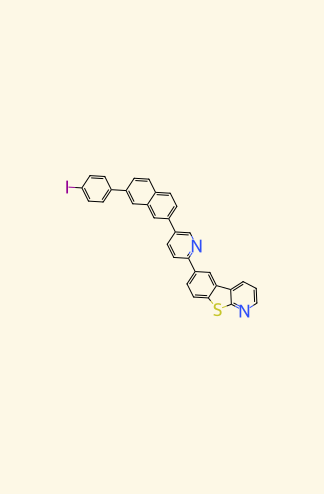 Ic1ccc(-c2ccc3ccc(-c4ccc(-c5ccc6sc7ncccc7c6c5)nc4)cc3c2)cc1